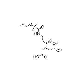 CCCOC(C)(C)C(=O)NCCC(=O)N(CC(=O)O)CC(O)O